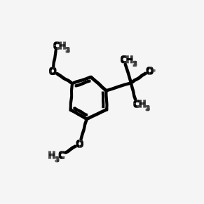 COc1cc(OC)cc(C(C)(C)[O])c1